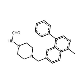 Cc1ncc(-c2ccccc2)c2cc(CN3CCN(BC=O)CC3)ccc12